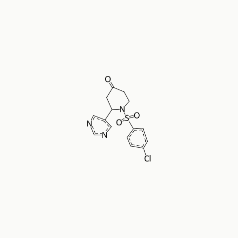 O=C1CCN(S(=O)(=O)c2ccc(Cl)cc2)C(c2cncnc2)C1